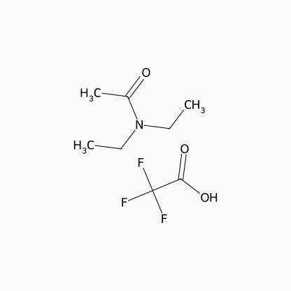 CCN(CC)C(C)=O.O=C(O)C(F)(F)F